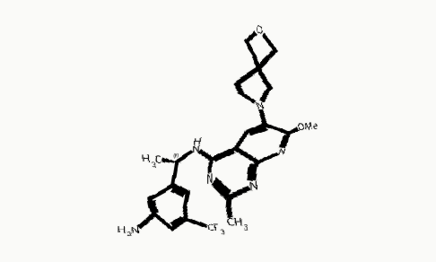 COc1nc2nc(C)nc(N[C@H](C)c3cc(N)cc(C(F)(F)F)c3)c2cc1N1CC2(COC2)C1